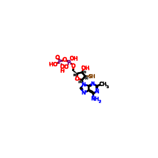 Cc1nc(N)c2ncn([C@@H]3O[C@H](COP(=O)(O)OP(=O)(O)O)[C@@H](O)[C@H]3S)c2n1